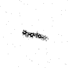 CC(C)(C)c1ccc(S(=O)(=O)NCc2ccc(C(=O)Nc3cnccc3Cl)cc2)cc1